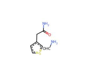 NC(=O)Cc1ccsc1.NC=O